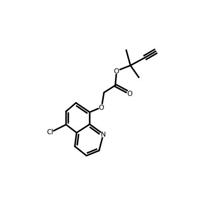 C#CC(C)(C)OC(=O)COc1ccc(Cl)c2cccnc12